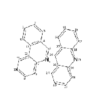 [c]1cccc2cnc3ccccc3c12.[c]1cccc2nc3ccccc3cc12